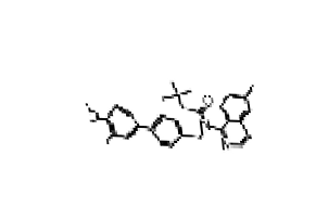 COc1ccc(-c2ccc(CN(C(=O)CC(C)(C)C)c3nccc4cc(C)ccc34)cc2)cc1C